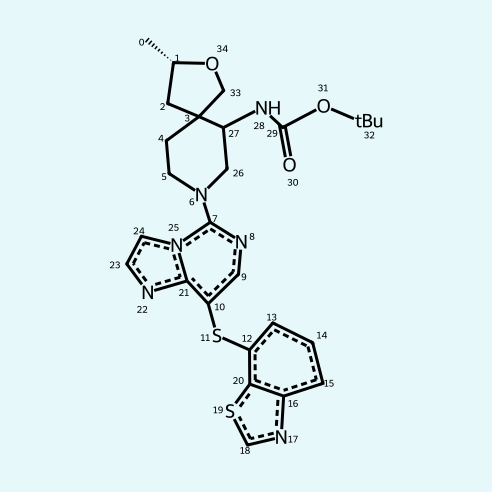 C[C@H]1CC2(CCN(c3ncc(Sc4cccc5ncsc45)c4nccn34)CC2NC(=O)OC(C)(C)C)CO1